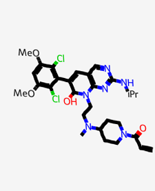 C=CC(=O)N1CCC(N(C)CCN2c3nc(NC(C)C)ncc3C=C(c3c(Cl)c(OC)cc(OC)c3Cl)C2O)CC1